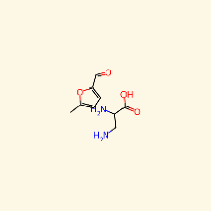 Cc1ccc(C=O)o1.NCC(N)C(=O)O